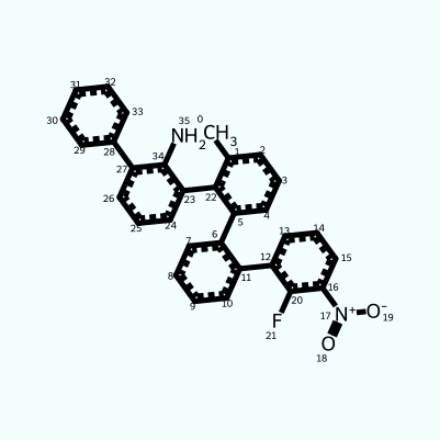 Cc1cccc(-c2ccccc2-c2cccc([N+](=O)[O-])c2F)c1-c1cccc(-c2ccccc2)c1N